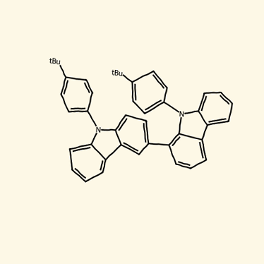 CC(C)(C)c1ccc(-n2c3ccccc3c3cc(-c4cccc5c6ccccc6n(-c6ccc(C(C)(C)C)cc6)c45)ccc32)cc1